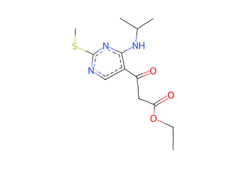 CCOC(=O)CC(=O)c1cnc(SC)nc1NC(C)C